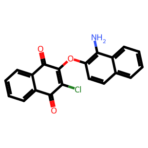 Nc1c(OC2=C(Cl)C(=O)c3ccccc3C2=O)ccc2ccccc12